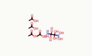 CC(=O)O.CC(=O)O.CC(=O)O.CC(=O)O.ONC(O)(O)C(O)(O)N(O)O